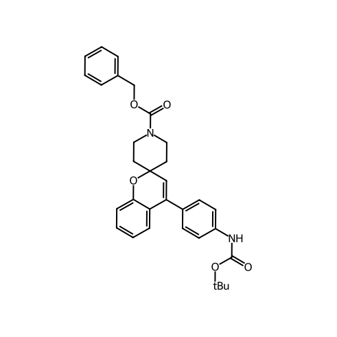 CC(C)(C)OC(=O)Nc1ccc(C2=CC3(CCN(C(=O)OCc4ccccc4)CC3)Oc3ccccc32)cc1